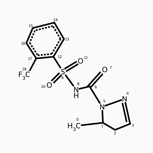 CC1CC=NN1C(=O)NS(=O)(=O)c1ccccc1C(F)(F)F